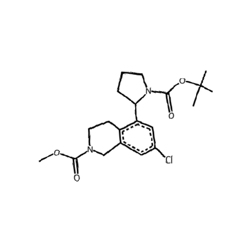 COC(=O)N1CCc2c(cc(Cl)cc2C2CCCN2C(=O)OC(C)(C)C)C1